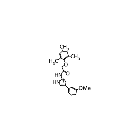 COc1cccc(-c2c[nH]c(NC(=O)COc3c(C)cc(C)cc3C)n2)c1